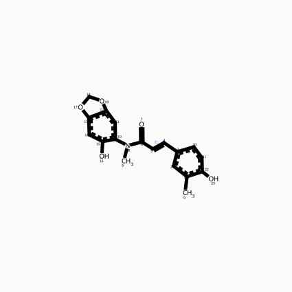 Cc1cc(/C=C/C(=O)N(C)c2cc3c(cc2O)OCO3)ccc1O